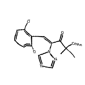 COC(C)(C)C(=O)C(=Cc1c(Cl)cccc1Cl)n1cncn1